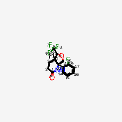 O=C1CC[C@@H]2C(C(F)(F)F)OC[C@]2(c2ccccc2F)N1